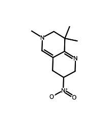 CN1C=C2CC([N+](=O)[O-])CN=C2C(C)(C)C1